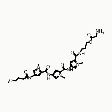 COCCCC(=O)Nc1cc(C(=O)Nc2cc(C(=O)Nc3cc(C(=O)NCCCOC(=O)CN)n(C)c3)n(C)c2)n(C)c1